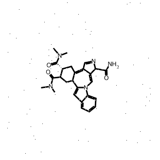 CN(C)C(=O)C1CC2C(=C3C=NC(C(N)=O)C3=Cn3c2cc2ccccc23)C[C@H]1C(=O)N(C)C